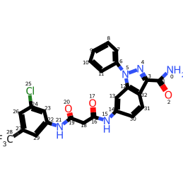 NC(=O)c1nn(-c2ccccc2)c2cc(NC(=O)CC(=O)Nc3cc(Cl)cc(C(F)(F)F)c3)ccc12